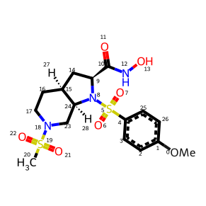 COc1ccc(S(=O)(=O)N2[C@H](C(=O)NO)C[C@@H]3CCN(S(C)(=O)=O)C[C@@H]32)cc1